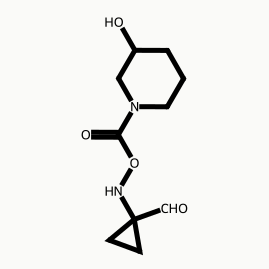 O=CC1(NOC(=O)N2CCCC(O)C2)CC1